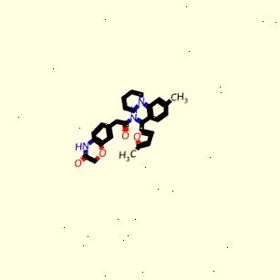 Cc1ccc(C(NC(=O)Cc2ccc3c(c2)OCC(=O)N3)c2ccc(C)o2)c(N2CCCCC2)c1